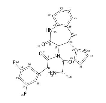 C[C@H](N)C(=O)N(C(=O)Cc1cc(F)cc(F)c1)[C@@H]1C(=O)Nc2ccccc2S[C@@H]1c1cccs1